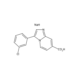 O=C(O)c1ccn2c(-c3cccc(Cl)c3)cnc2c1.[NaH]